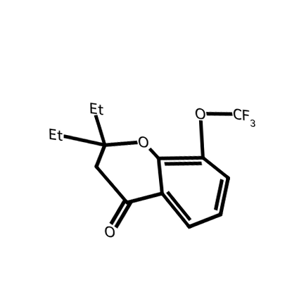 CCC1(CC)CC(=O)c2cccc(OC(F)(F)F)c2O1